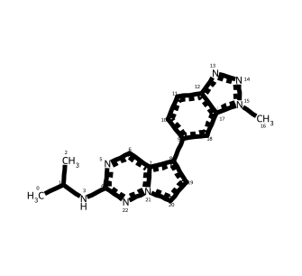 CC(C)Nc1ncc2c(-c3ccc4nnn(C)c4c3)ccn2n1